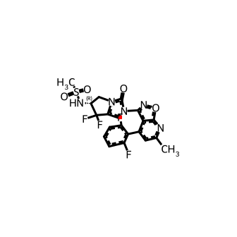 Cc1cc(-c2c(F)cccc2F)c2c(-n3cc4n(c3=O)C[C@@H](NS(C)(=O)=O)C4(F)F)noc2n1